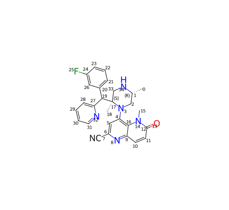 C[C@@H]1CN(c2cc(C#N)nc3ccc(=O)n(C)c23)[C@@](C)(C(c2cccc(F)c2)c2ccccn2)CN1